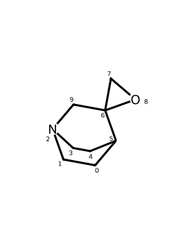 C1CN2CCC1C1(CO1)C2